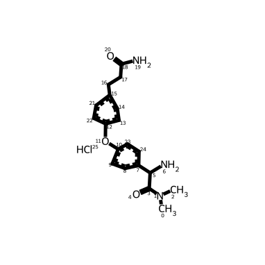 CN(C)C(=O)C(N)c1ccc(Oc2ccc(CCC(N)=O)cc2)cc1.Cl